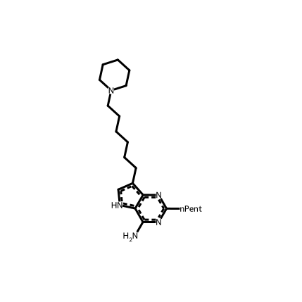 CCCCCc1nc(N)c2[nH]cc(CCCCCCN3CCCCC3)c2n1